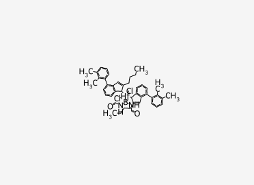 CCCCC1=Cc2c(-c3cccc(C)c3C)cccc2[CH]1[Hf]([Cl])([Cl])([B](NC=O)NC=O)[CH]1C(CCCC)=Cc2c(-c3cccc(C)c3C)cccc21